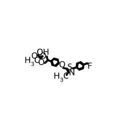 Cc1nc(-c2ccc(CF)cc2)sc1COc1ccc(C2COC(C)(C(=O)O)OC2)cc1